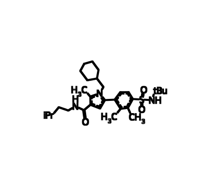 Cc1c(-c2cc(C(=O)NCCC(C)C)c(C)n2CC2CCCCC2)ccc(S(=O)(=O)NC(C)(C)C)c1C